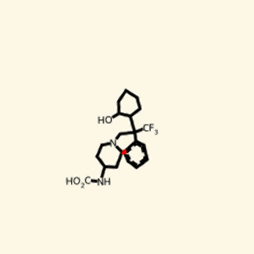 O=C(O)NC1CCN(CC(c2ccccc2)(C2CCCCC2O)C(F)(F)F)CC1